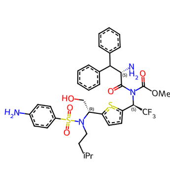 COC(=O)N(C(=O)[C@@H](N)C(c1ccccc1)c1ccccc1)[C@H](c1ccc([C@@H](CO)N(CCC(C)C)S(=O)(=O)c2ccc(N)cc2)s1)C(F)(F)F